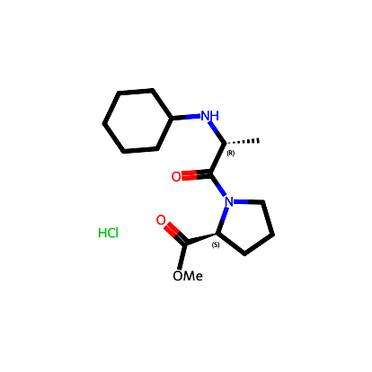 COC(=O)[C@@H]1CCCN1C(=O)[C@@H](C)NC1CCCCC1.Cl